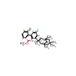 COCOc1c(-c2ccccc2Br)cc(F)cc1C1(C)CC2(C)CC(C)(C)CC(C)(C2)C1